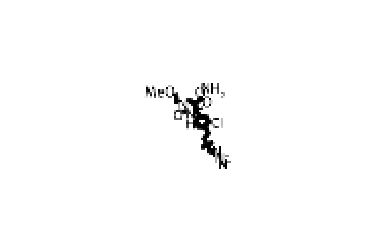 COCCN1C=C(C(=O)ON)[C@](C)(c2ccc(CCC(C)(C)CN=[N+]=[N-])c(Cl)c2)NC1=O